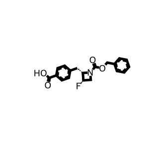 O=C(O)c1ccc(C[C@H]2[C@@H](F)CN2C(=O)OCc2ccccc2)cc1